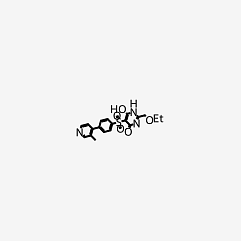 CCOCc1nc(=O)c(S(=O)(=O)c2ccc(-c3ccncc3C)cc2)c(O)[nH]1